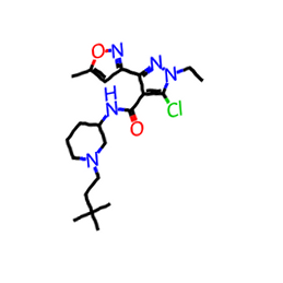 CCn1nc(-c2cc(C)on2)c(C(=O)NC2CCCN(CCC(C)(C)C)C2)c1Cl